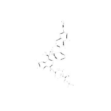 CC(C)(C)OC(=O)N1CCC(Oc2ccc(C(=O)N(Cc3ccc4ccc(C#N)cc4c3)c3ccccc3)c3ccccc23)CC1